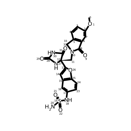 COc1ccc2c(c1)C(=O)N(C[C@@]1(c3cc4cc(NS(N)(=O)=O)ccc4o3)NC(=O)NC1=O)C2